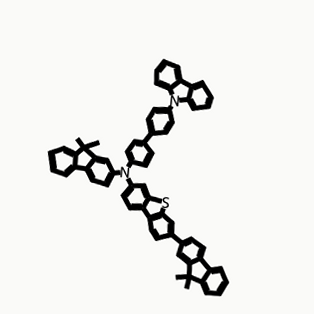 CC1(C)c2ccccc2-c2ccc(-c3ccc4c(c3)sc3cc(N(c5ccc(-c6ccc(-n7c8ccccc8c8ccccc87)cc6)cc5)c5ccc6c(c5)C(C)(C)c5ccccc5-6)ccc34)cc21